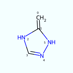 C=C1NC=NN1